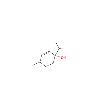 CC1C=CC(O)(C(C)C)CC1